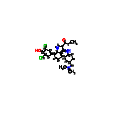 CCC(=O)c1cnc2c(-c3cc(Cl)c(O)c(Cl)c3)cccc2c1NC1CCC(CN(C)C)CC1